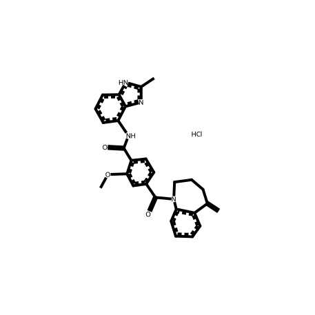 C=C1CCCN(C(=O)c2ccc(C(=O)Nc3cccc4[nH]c(C)nc34)c(OC)c2)c2ccccc21.Cl